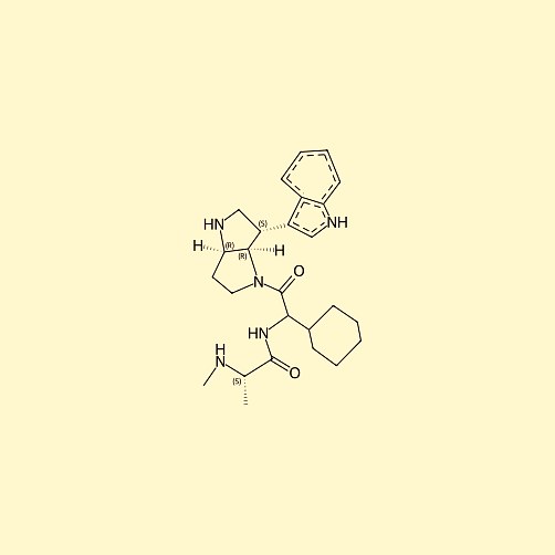 CN[C@@H](C)C(=O)NC(C(=O)N1CC[C@H]2NC[C@H](c3c[nH]c4ccccc34)[C@H]21)C1CCCCC1